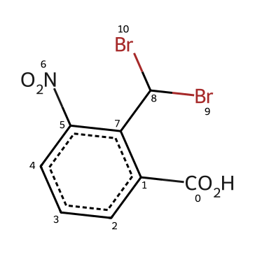 O=C(O)c1cccc([N+](=O)[O-])c1C(Br)Br